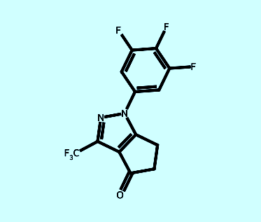 O=C1CCc2c1c(C(F)(F)F)nn2-c1cc(F)c(F)c(F)c1